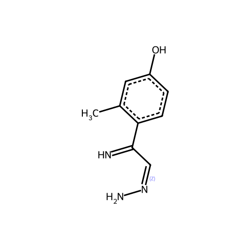 Cc1cc(O)ccc1C(=N)/C=N\N